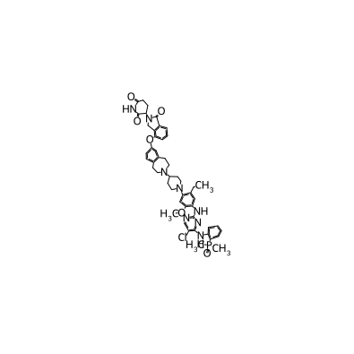 CCc1cc(Nc2ncc(Cl)c(Nc3ccccc3P(C)(C)=O)n2)c(OC)cc1N1CCC(N2CCc3ccc(Oc4cccc5c4CN(C4CCC(=O)NC4=O)C5=O)cc3CC2)CC1